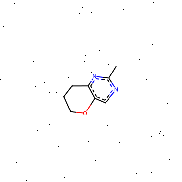 Cc1ncc2c(n1)CCCO2